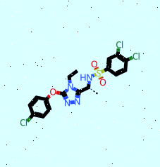 CCn1c(Oc2ccc(Cl)cc2)nnc1[C@@H](C)NS(=O)(=O)c1ccc(Cl)c(Cl)c1